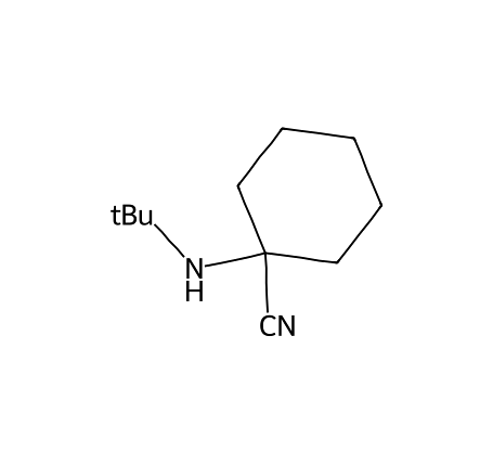 CC(C)(C)NC1(C#N)CCCCC1